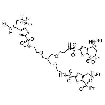 CCNCc1cc(S(=O)(=O)NCCOCC(COCCNS(=O)(=O)c2cc3c(s2)S(=O)(=O)[C@@H](C)C[C@@H]3NCC)COCCNS(=O)(=O)c2cc3c(s2)S(=O)(=O)[C@@H](C)C[C@@H]3NCC)sc1S(=O)(=O)C(C)C